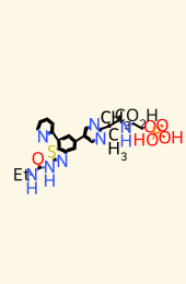 CCNC(=O)Nc1nc2cc(-c3cnc(C(C)(C)C(NCCOP(=O)(O)O)C(=O)O)nc3)cc(-c3ccccn3)c2s1